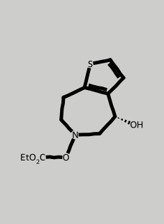 CCOC(=O)ON1CCc2sccc2[C@H](O)C1